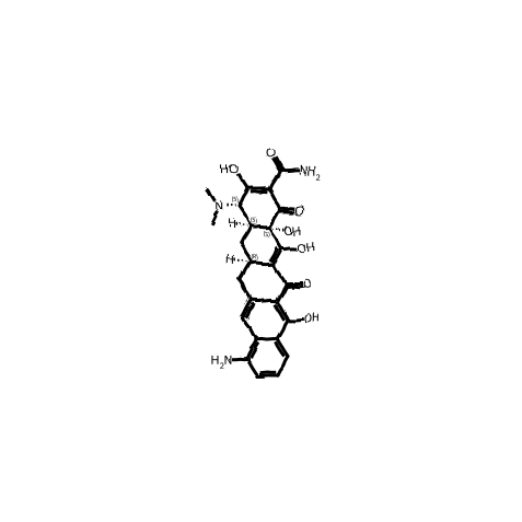 CN(C)[C@@H]1C(O)=C(C(N)=O)C(=O)[C@@]2(O)C(O)=C3C(=O)c4c(cc5c(N)cccc5c4O)C[C@H]3C[C@@H]12